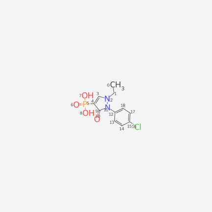 CCn1cc(P(=O)(O)O)c(=O)n1-c1ccc(Cl)cc1